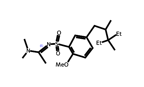 CCC(C)(CC)C(C)Cc1ccc(OC)c(S(=O)(=O)/N=C(\C)N(C)C)c1